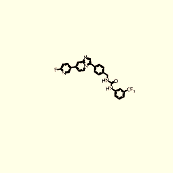 O=C(NCc1ccc(-c2cnc3cc(-c4ccc(F)nc4)ccn23)cc1)Nc1cccc(C(F)(F)F)c1